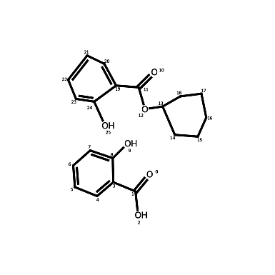 O=C(O)c1ccccc1O.O=C(OC1CCCCC1)c1ccccc1O